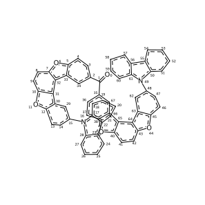 O=C(c1ccc2oc3ccc4oc5ccc(-n6c7ccccc7c7ccccc76)cc5c4c3c2c1)c1ccc2oc3ccc4oc5ccc(-n6c7ccccc7c7ccccc76)cc5c4c3c2c1